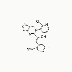 Cc1ccc(C#N)c(C=C(O)C2=Nc3ccsc3CN2c2cccnc2Cl)c1